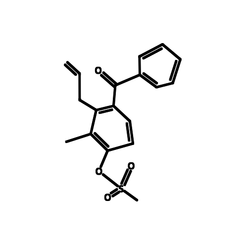 C=CCc1c(C(=O)c2ccccc2)ccc(OS(C)(=O)=O)c1C